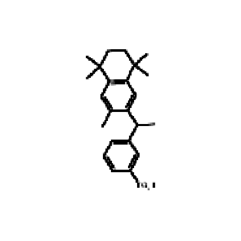 Cc1cc2c(cc1C(C)c1cccc(C(=O)O)c1)C(C)(C)CCC2(C)C